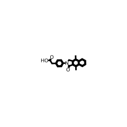 Cc1c2c(c(C)c3ccccc13)C(=O)N(c1ccc(CC(=O)O)cc1)C2